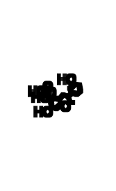 CC(=O)C(Cc1ccc(O)cc1OP(=O)(O)O)c1cccc(O)c1